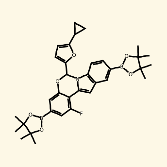 CC1(C)OB(c2cc(F)c3c(c2)OC(c2ccc(C4CC4)o2)n2c-3cc3cc(B4OC(C)(C)C(C)(C)O4)ccc32)OC1(C)C